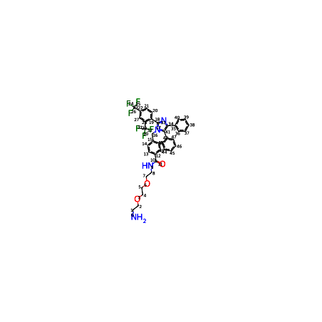 NCCOCCOCCNC(=O)c1ccc(Cn2c(-c3ccc(C(F)(F)F)cc3C(F)(F)F)nc(-c3ccccc3)c2-c2ccccc2)cc1